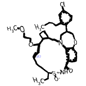 CCCc1cc(Cl)ccc1C1COc2ccc3cc2N(C1)CC1CCC1C(OCCOC)/C=C/CCC(CC)[S+]([O-])NC3=O